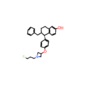 Oc1ccc2c(c1)CCC(Cc1ccccc1)[C@@H]2c1ccc(OC2CN(CCCF)C2)cc1